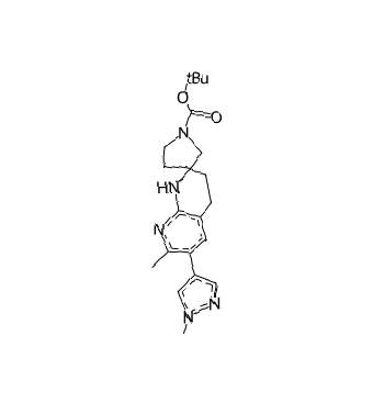 Cc1nc2c(cc1-c1cnn(C)c1)CCC1(CCN(C(=O)OC(C)(C)C)C1)N2